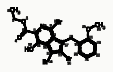 CCOC(=O)c1nc(Br)c2c(c1O)c(Br)c(Br)n2Cc1ccccc1OC